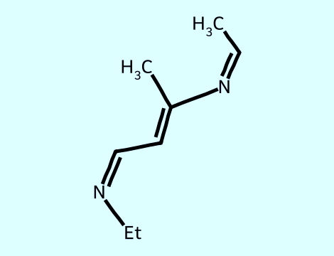 C\C=N/C(C)=C/C=N\CC